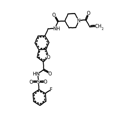 C=CC(=O)N1CCC(C(=O)NCc2ccc3cc(C(=O)NS(=O)(=O)c4ccccc4F)oc3c2)CC1